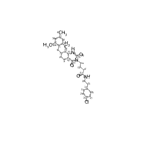 Cc1cc(C)c(Cc2ccc3c(=O)n(CCCC(=O)NCCc4ccc(Cl)cc4)c(=O)[nH]c3c2)c(C)c1